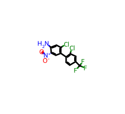 Nc1cc(Cl)c(-c2ccc(C(F)(F)F)cc2Cl)cc1[N+](=O)[O-]